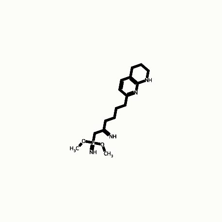 COP(=N)(CC(=N)CCCCc1ccc2c(n1)NCCC2)OC